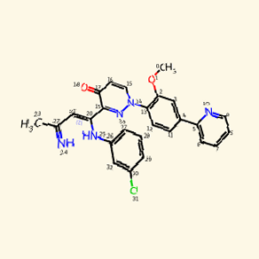 COc1cc(-c2ccccn2)ccc1-n1ccc(=O)c(/C(=C/C(C)=N)Nc2cccc(Cl)c2)n1